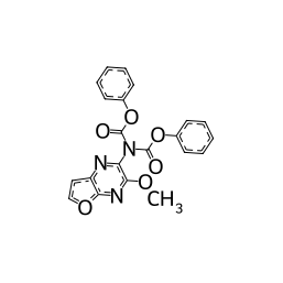 COc1nc2occc2nc1N(C(=O)Oc1ccccc1)C(=O)Oc1ccccc1